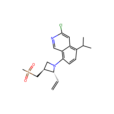 C=C[C@@H]1[C@@H](CS(C)(=O)=O)CN1c1ccc(C(C)C)c2cc(Cl)ncc12